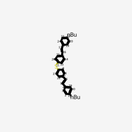 CCCCc1ccc(/C=C/c2ccc(Sc3ccc(/C=C/c4ccc(CCCC)cc4)cc3)cc2)cc1